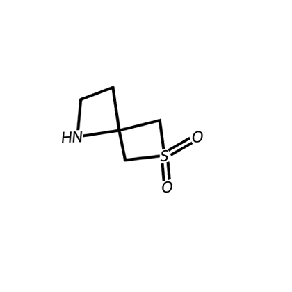 O=S1(=O)CC2(CCN2)C1